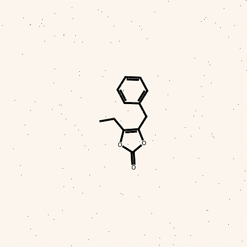 CCc1oc(=O)oc1Cc1ccccc1